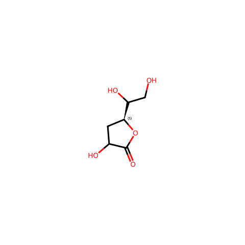 O=C1O[C@H](C(O)CO)CC1O